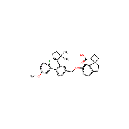 COc1ccc(F)c(-c2ccc(COc3ccc4c(c3)[C@@]3(CC4)CC[C@H]3C(=O)O)cc2C2=CCCC2(C)C)c1